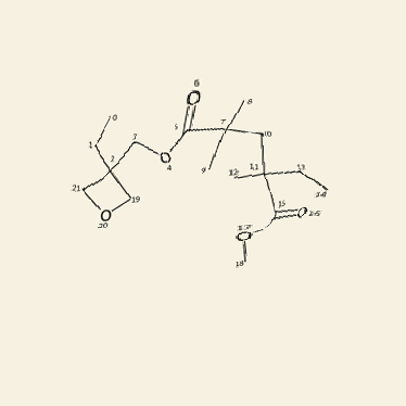 CCC1(COC(=O)C(C)(C)CC(C)(CC)C(=O)OC)COC1